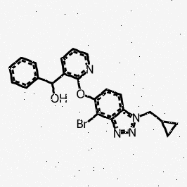 OC(c1ccccc1)c1cccnc1Oc1ccc2c(nnn2CC2CC2)c1Br